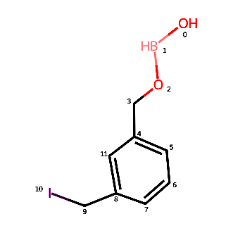 OBOCc1cccc(CI)c1